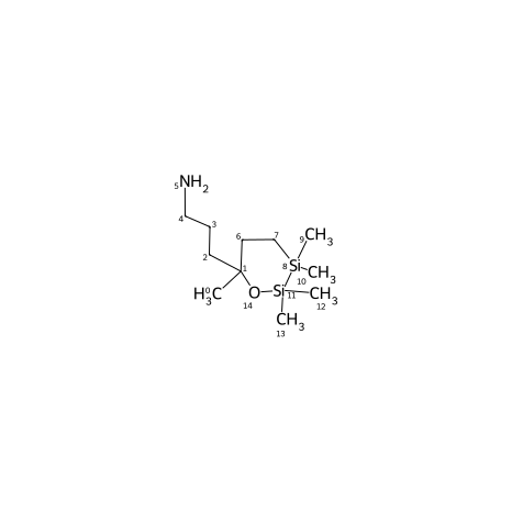 CC1(CCCN)CC[Si](C)(C)[Si](C)(C)O1